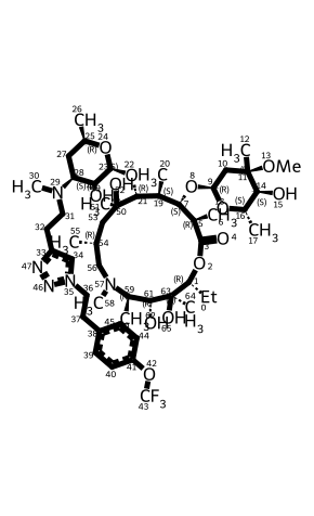 CC[C@H]1OC(=O)[C@H](C)[C@@H](O[C@H]2C[C@@](C)(OC)[C@@H](O)[C@H](C)O2)[C@H](C)[C@@H](O[C@@H]2O[C@H](C)C[C@H](N(C)CCc3cn(CCc4ccc(OC(F)(F)F)cc4)nn3)[C@H]2O)[C@](C)(O)C[C@@H](C)CN(C)[C@H](C)[C@@H](O)[C@]1(C)O